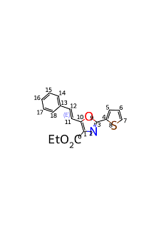 CCOC(=O)c1nc(-c2cccs2)oc1/C=C/c1ccccc1